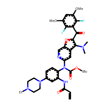 C=CC(=O)Nc1cc(N2CCN(CC)CC2)ccc1N(C(=O)OC(C)(C)C)c1cc2c(N(C)C)c(C(=O)c3c(F)c(OC)cc(OC)c3F)oc2cn1